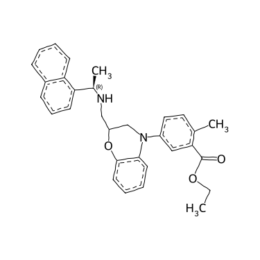 CCOC(=O)c1cc(N2CC(CN[C@H](C)c3cccc4ccccc34)Oc3ccccc32)ccc1C